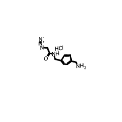 Cl.[N-]=[N+]=NCC(=O)NCc1ccc(CN)cc1